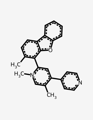 Cc1c[n+](C)c(-c2c(C)ccc3c2oc2ccccc23)cc1-c1ccncc1